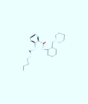 CCCCNC(=O)Nc1ccccc1C(=O)NC1CCCCC1CN1CCCCC1